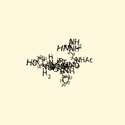 CC(=O)N[C@@H](CCCNC(=N)N)C(=O)NCC(=O)N[C@@H](CC1CCCCC1)C(=O)N[C@@H](C(=O)N[C@@H](CC1CCC(O)CC1)C(N)=O)C(C)C